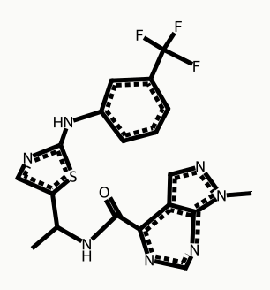 CC(NC(=O)c1ncnc2c1cnn2C)c1cnc(Nc2cccc(C(F)(F)F)c2)s1